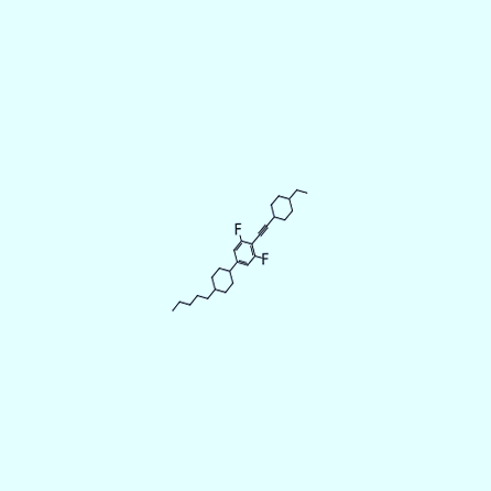 CCCCCC1CCC(c2cc(F)c(C#CC3CCC(CC)CC3)c(F)c2)CC1